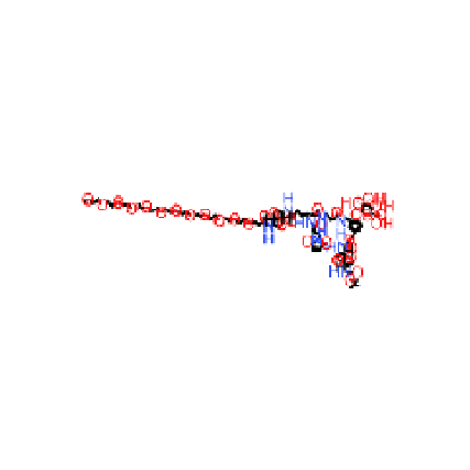 COCCOCCOCCOCCOCCOCCOCCOCCOCCOCCOCCOCCC(=O)N[C@H]1CO[C@H]2[C@@H]1OC[C@@H]2NC(=O)CCC[C@H](NC(=O)CCN1C(=O)C=CC1=O)C(=O)NCCC(=O)NCc1cc(COC(=O)N[C@H]2CO[C@H]3[C@@H]2OC[C@@H]3NC(=O)OC(C)(C)C)ccc1O[C@@H]1O[C@H](C(=O)O)[C@@H](O)[C@H](O)[C@H]1O